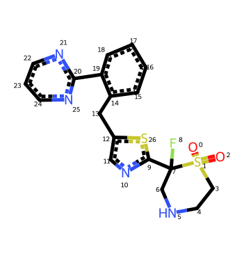 O=S1(=O)CCNCC1(F)c1ncc(Cc2ccccc2-c2ncccn2)s1